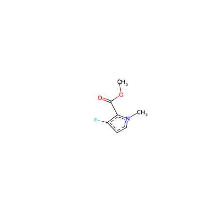 COC(=O)c1c(F)ccn1C